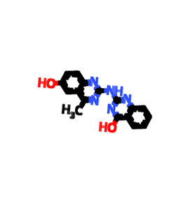 Cc1nc(Nc2nc(O)c3ccccc3n2)nc2ccc(O)cc12